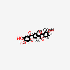 CC(=O)c1cc2c(=O)c3cc(O)c(O)cc3oc2c(C(C)=O)c1-c1coc2cc(C)c(O)c(C(=O)O)c2c1=O